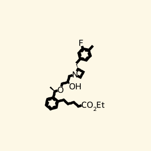 CCOC(=O)CCCCc1ccccc1[C@@H](C)OC[C@H](O)CN1CC[C@H]1Cc1ccc(C)c(F)c1